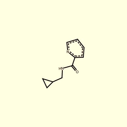 O=C(NCC1CC1)c1ccccn1